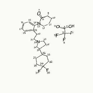 O=C(O)C(F)(F)F.O=C1CCCCN1c1ccccc1CCN1CCC(C2CCC(F)(F)CC2)C1